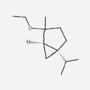 CCOC1(C)CC[C@@]2(C(C)C)C[C@@H]12